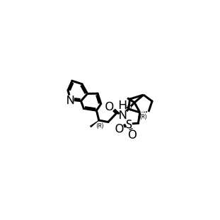 C[C@H](CC(=O)N1[C@H]2CC3CC[C@@]2(CS1(=O)=O)C3(C)C)c1ccc2cccnc2c1